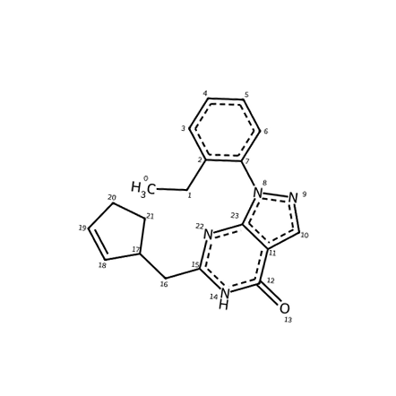 CCc1ccccc1-n1ncc2c(=O)[nH]c(CC3C=CCC3)nc21